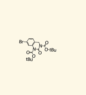 CC(C)(C)OC(=O)N1Cc2ccc(Br)cc2N(C(=O)OC(C)(C)C)C1=O